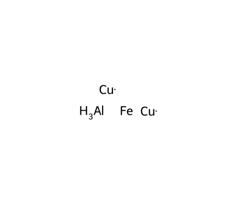 [AlH3].[Cu].[Cu].[Fe]